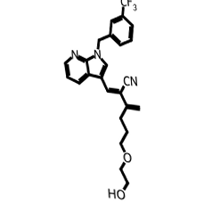 C=C(CCCOCCO)/C(C#N)=C/c1cn(Cc2cccc(C(F)(F)F)c2)c2ncccc12